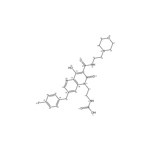 O=C(O)NCCn1c(=O)c(C(=O)NCCN2CCOCC2)c(O)c2ncc(Cc3ccc(F)cc3)cc21